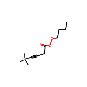 CCCCOOC(=O)CC#C[Si](C)(C)C